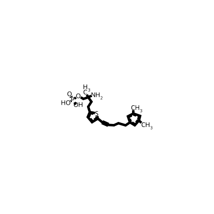 Cc1cc(C)cc(CCCC#Cc2ccc(CCC(C)(N)COP(=O)(O)O)s2)c1